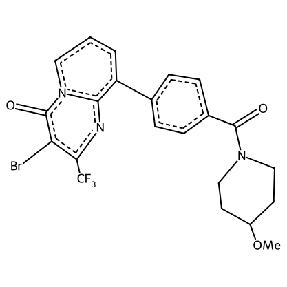 COC1CCN(C(=O)c2ccc(-c3cccn4c(=O)c(Br)c(C(F)(F)F)nc34)cc2)CC1